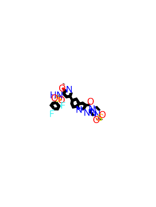 COc1ncc(-c2ccc3nc(N)c(C(=O)N4CCN(S(C)(=O)=O)CC4)cc3c2)cc1NS(=O)(=O)c1ccc(F)cc1F